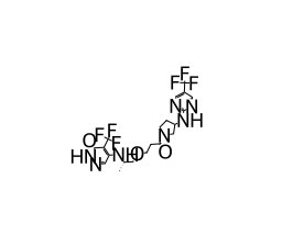 C[C@@H](COCCC(=O)N1CCC(Nc2ncc(C(F)(F)F)cn2)C1)Nc1cn[nH]c(=O)c1C(F)(F)F